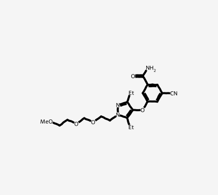 CCc1nn(CCOCOCCOC)c(CC)c1Oc1cc(C#N)cc(C(N)=O)c1